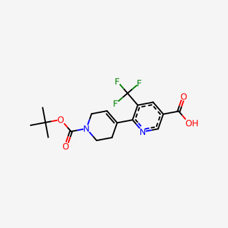 CC(C)(C)OC(=O)N1CC=C(c2ncc(C(=O)O)cc2C(F)(F)F)CC1